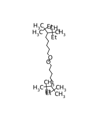 CCC(C)(C)C(CCCCCOOCCCCCC(C(C)(C)CC)C(C)(C)CC)C(C)(C)CC